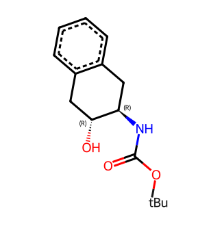 CC(C)(C)OC(=O)N[C@@H]1Cc2ccccc2C[C@H]1O